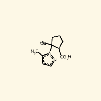 Cc1ccnn1C1(C(C)(C)C)CCCN1C(=O)O